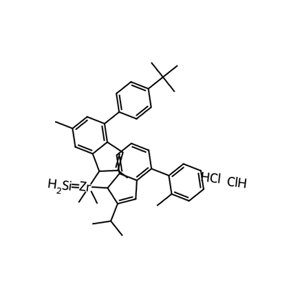 CC1=Cc2c(-c3ccc(C(C)(C)C)cc3)cc(C)cc2[CH]1[Zr]([CH3])([CH3])(=[SiH2])[CH]1C(C(C)C)=Cc2c(-c3ccccc3C)cccc21.Cl.Cl